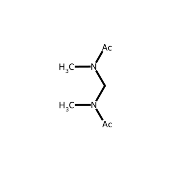 CC(=O)N(C)CN(C)C(C)=O